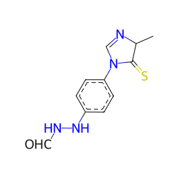 CC1N=CN(c2ccc(NNC=O)cc2)C1=S